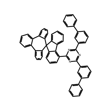 c1ccc(-c2cccc(-c3nc(-c4cccc(-c5ccccc5)c4)nc(-c4cccc5c4-c4ccccc4C54c5ccccc5-c5ccccc5-c5ccccc54)n3)c2)cc1